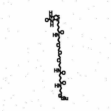 CC(C)(C)OCCCNC(=O)CCCC(=O)NCCCOCCOCCOCCCNC(=O)CCCC[C@@H]1SCC2NC(=O)NC21